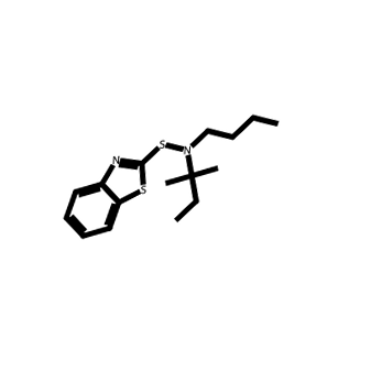 CCCCN(Sc1nc2ccccc2s1)C(C)(C)CC